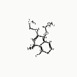 CCOC1=NC(=N)C2=C(F)CC=CC2=C1OCC